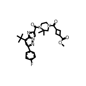 COC(=O)C1CC(C(=O)N2CCN(C(=O)c3cn4nc(-c5ccc(F)cc5)cc(C(C)(C)C)c4n3)C(C)(C)C2)C1